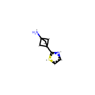 NC12CC(c3nccs3)(C1)C2